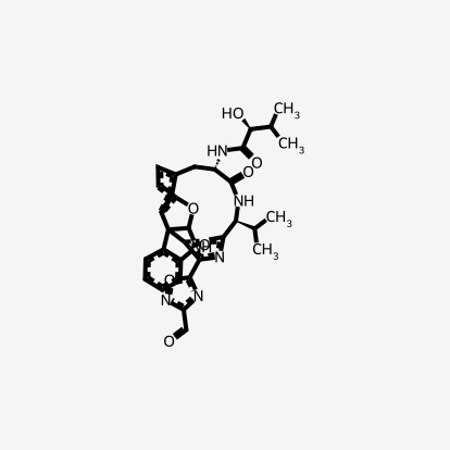 CC(C)[C@H](O)C(=O)N[C@H]1Cc2ccc3c(c2)C2(c4ccccc4NC2O3)c2oc(nc2-c2nc(C=O)no2)[C@H](C(C)C)NC1=O